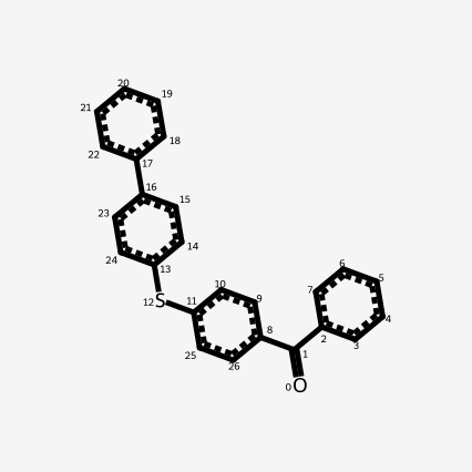 O=C(c1ccccc1)c1ccc(Sc2ccc(-c3ccccc3)cc2)cc1